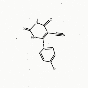 N#Cc1c(-c2ccc(Br)cc2)[nH]c(=S)[nH]c1=O